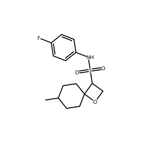 CC1CCC2(CC1)OCC2S(=O)(=O)Nc1ccc(F)cc1